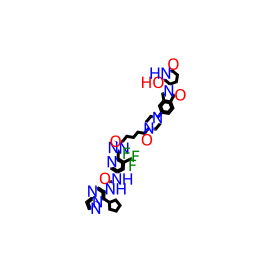 O=C1CCC(N2Cc3cc(N4CCN(C(=O)CCCc5nc(-c6ncc(NC(=O)Nc7cnc8ccnn8c7C7CCCC7)cc6C(F)(F)F)no5)CC4)ccc3C2=O)C(O)N1